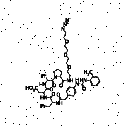 Cc1ccccc1NC(=O)Nc1ccc(CC(=O)NC(CC(C)C)C(=O)NC(CC(=O)O)C(=O)NC(C(=O)N2CCCC2C(=O)NCCOCCOCCOCCN=[N+]=[N-])C(C)C)cc1